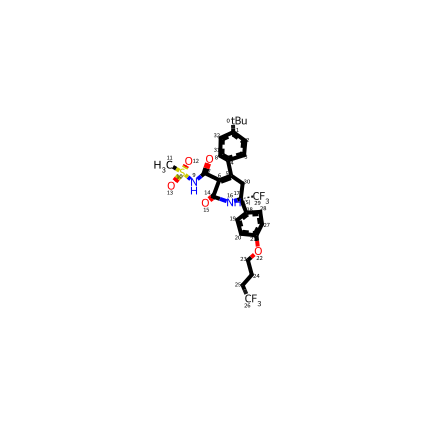 CC(C)(C)c1ccc(C2=C(C(=O)NS(C)(=O)=O)C(=O)N[C@@](c3ccc(OCCCC(F)(F)F)cc3)(C(F)(F)F)C2)cc1